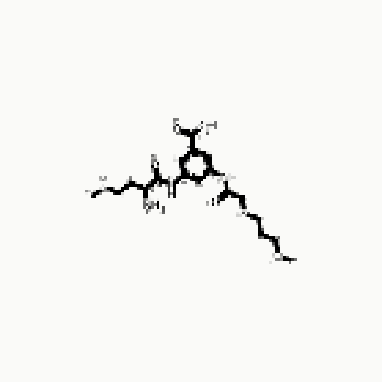 COCCCSCC(=O)Nc1cc(NC(=O)C(N)CCSC)cc(C(=O)O)c1